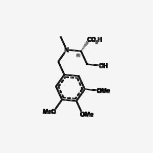 COc1cc(CN(C)[C@@H](CO)C(=O)O)cc(OC)c1OC